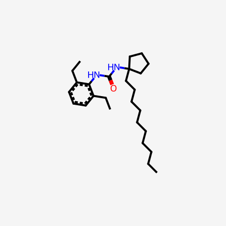 CCCCCCCCCCC1(NC(=O)Nc2c(CC)cccc2CC)CCCC1